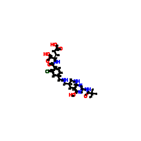 CC(C)(C)C(=O)Nc1nc(O)c2c(n1)NCC(CNCc1ccc(C(=O)N[C@@H](CCC(=O)O)C(=O)O)c(Cl)c1)C2